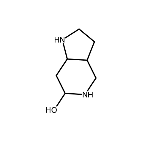 OC1CC2NCCC2CN1